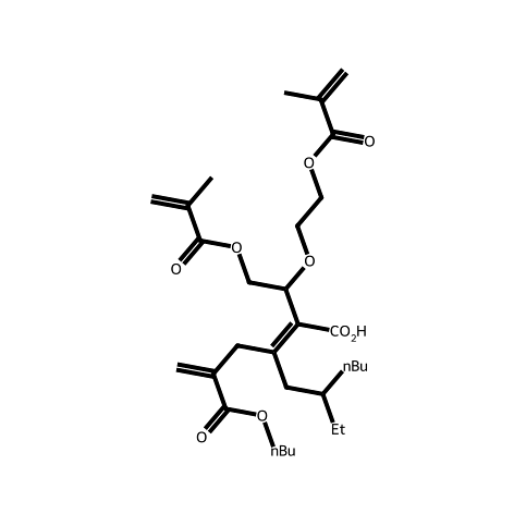 C=C(C)C(=O)OCCOC(COC(=O)C(=C)C)C(C(=O)O)=C(CC(=C)C(=O)OCCCC)CC(CC)CCCC